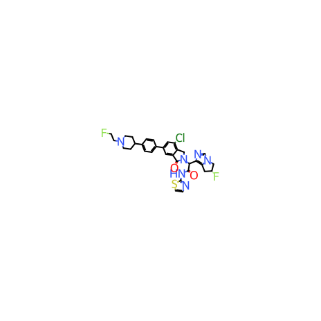 O=C(Nc1nccs1)C(c1ncn2c1C[C@@H](F)C2)N1Cc2c(Cl)cc(-c3ccc(C4CCN(CCF)CC4)cc3)cc2C1=O